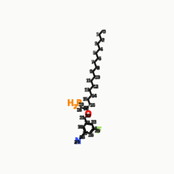 CCCCCCCCCCCCCCCCC[C@@H](CP)OCc1cc(F)cc(C#N)c1